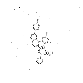 O=C(O)COc1ccc(F)cc1C1c2cc(-c3ccc(F)cc3)ccc2CCN1C(=O)OCc1ccccc1